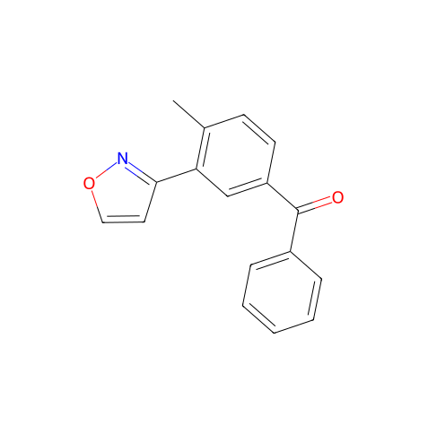 Cc1ccc(C(=O)c2ccccc2)cc1-c1ccon1